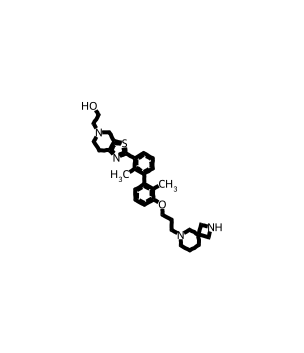 Cc1c(OCCCN2CCCC3(CNC3)C2)cccc1-c1cccc(-c2nc3c(s2)CN(CCO)CC3)c1C